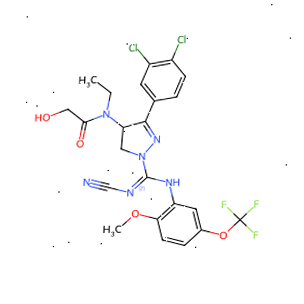 CCN(C(=O)CO)C1CN(/C(=N\C#N)Nc2cc(OC(F)(F)F)ccc2OC)N=C1c1ccc(Cl)c(Cl)c1